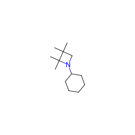 CC1(C)CN(C2CCCCC2)C1(C)C